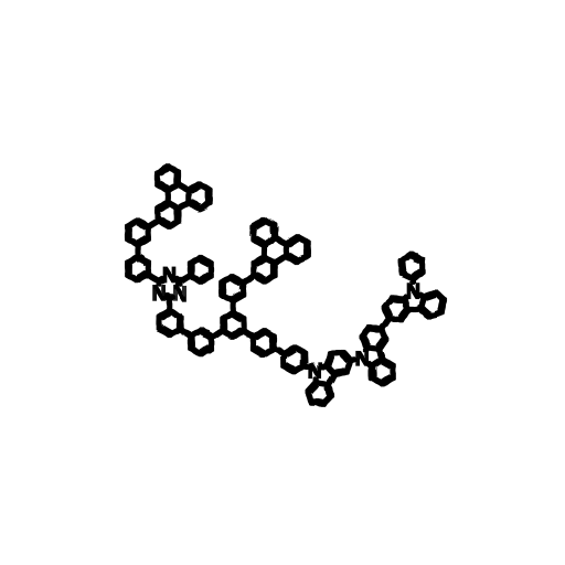 c1ccc(-c2nc(-c3cccc(-c4cccc(-c5cc(-c6ccc(-c7ccc(-n8c9ccccc9c9cc(-n%10c%11ccccc%11c%11cc(-c%12ccc%13c(c%12)c%12ccccc%12n%13-c%12ccccc%12)ccc%11%10)ccc98)cc7)cc6)cc(-c6cccc(-c7ccc8c9ccccc9c9ccccc9c8c7)c6)c5)c4)c3)nc(-c3cccc(-c4cccc(-c5ccc6c7ccccc7c7ccccc7c6c5)c4)c3)n2)cc1